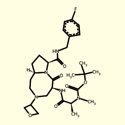 C[C@@H](C(=O)N[C@H]1CN(C2COC2)CC[C@H]2CC[C@@H](C(=O)NCc3ccc(F)cc3)N2C1=O)N(C)C(=O)OC(C)(C)C